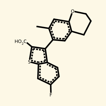 Cc1cc2c(cc1-c1c(C(=O)O)sc3cc(F)ccc13)CCCO2